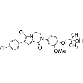 COc1cc(N2CCn3c(cc(-c4ccc(Cl)cc4)c3Cl)C2=O)ccc1OCC(C)(C)O